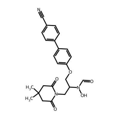 CC1(C)CC(=O)N(CC(COc2ccc(-c3ccc(C#N)cc3)cc2)N(O)C=O)C(=O)C1